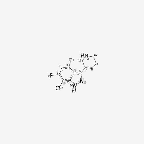 Fc1cc(F)c2c(C3=CCCNC3)n[nH]c2c1Cl